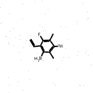 [2H]c1c(C)c(B)c(C=C)c(F)c1C